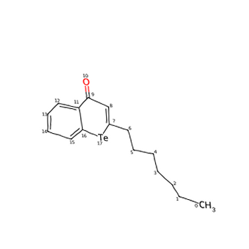 CCCCCCCc1cc(=O)c2ccccc2[te]1